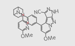 COc1cc(-c2ccc(N3CC4CC(C3)N4Cc3ccc(OC)nc3)nc2)c2c3c(C#N)n[nH]c3nn2c1